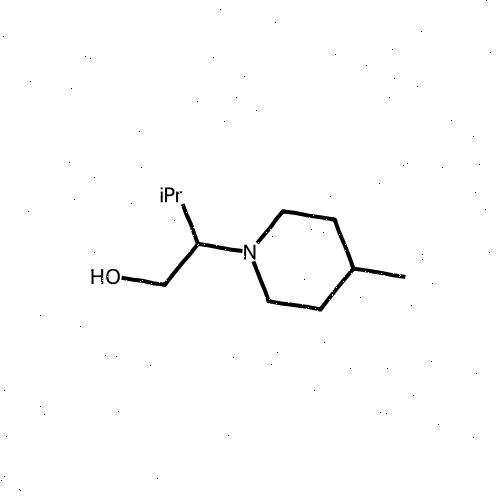 CC1CCN(C(CO)C(C)C)CC1